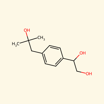 CC(C)(O)Cc1ccc(C(O)CO)cc1